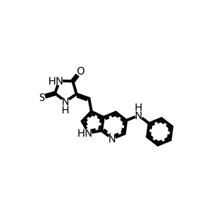 O=C1NC(=S)NC1=Cc1c[nH]c2ncc(Nc3ccccc3)cc12